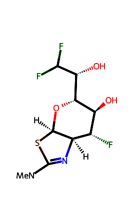 CNC1=N[C@@H]2[C@@H](F)[C@H](O)[C@@H]([C@@H](O)C(F)F)O[C@@H]2S1